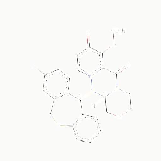 O=C(O)Oc1c2n(ccc1=O)N([C@H]1c3ccc(F)cc3CSc3ccccc31)[C@@H]1COCCN1C2=O